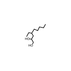 CCCCCC(CC)CC(O)CO